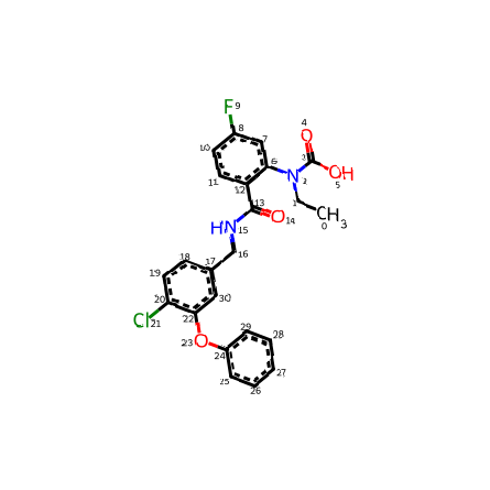 CCN(C(=O)O)c1cc(F)ccc1C(=O)NCc1ccc(Cl)c(Oc2ccccc2)c1